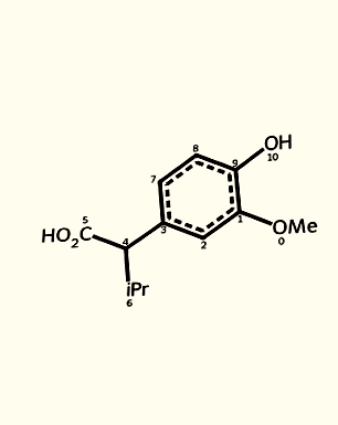 COc1cc(C(C(=O)O)C(C)C)ccc1O